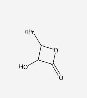 CCCC1OC(=O)C1O